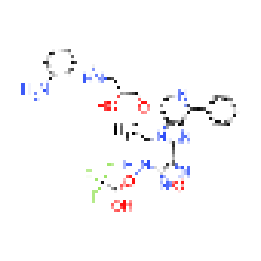 CCn1c(-c2nonc2N)nc2c(-c3ccccc3)ncc(OCC(O)CNCc3cccc(N)c3)c21.O=C(O)C(F)(F)F